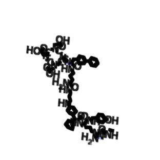 CCNC(=O)/N=C(/N)NCCC[C@@H](NC(=O)[C@@H](c1ccccc1)c1ccc(NCCCNC(=O)[C@H](N)CCCNC(=O)/C(Cc2ccc(-c3ccccc3)cc2)=N/CN2CCN(CC(=O)O)CCN(CC(=O)O)CCN(CC(=O)O)CC2)cc1)C(=O)NCc1ccc(O)cc1